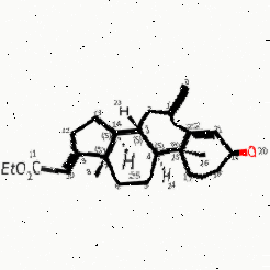 C=C1C[C@@H]2[C@H](CC[C@]3(C)C(=CC(=O)OCC)CC[C@@H]23)[C@@]2(C)CCC(=O)C=C12